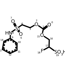 O=C(OCCS(=O)(=O)Nc1ccccc1)OCC(F)S(=O)(=O)O